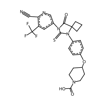 N#Cc1ncc(N2C(=O)C3(CCC3)N(c3ccc(OC4CCN(C(=O)O)CC4)cc3)C2=S)cc1C(F)(F)F